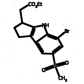 CCOC(=O)CC1CCc2c1[nH]c1c(Br)cc(S(C)(=O)=O)cc21